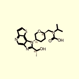 CC(C)N(C[C@H]1CC[C@H](n2c([C@@H](C)O)nc3cnc4ccsc4c32)CO1)C(=O)O